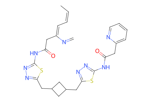 C=N/C(=C\C=C/C)CC(=O)Nc1nnc(CC2CC(Cc3nnc(NC(=O)Cc4ccccn4)s3)C2)s1